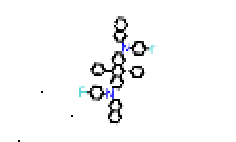 Fc1ccc(N(c2ccc3c(c2)CCC=C3)c2ccc3c(-c4ccccc4)c4cc(N(c5ccc(F)cc5)c5ccc6ccccc6c5)ccc4c(-c4ccccc4)c3c2)cc1